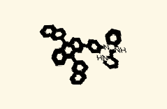 C1=CCNC(C2Nc3ccccc3N2c2ccc(-c3ccc4c(-c5ccc6ccccc6c5)c5ccccc5c(-c5ccc6ccccc6c5)c4c3)cc2)=C1